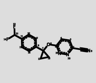 N#Cc1ccc(OC2(c3ccc(C(F)F)cc3)CC2)nn1